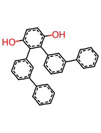 Oc1ccc(O)c(-c2cccc(-c3ccccc3)c2)c1-c1cccc(-c2ccccc2)c1